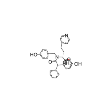 Cl.NC(=O)[C@@H](CCc1ccncc1)N(Cc1ccc(O)cc1)C(=O)C(c1ccccc1)c1ccccc1